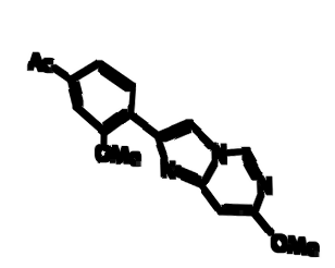 COc1cc2nc(-c3ccc(C(C)=O)cc3OC)cn2cn1